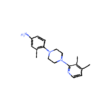 Cc1cc(N)ccc1N1CCN(c2nccc(C)c2C)CC1